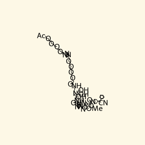 COc1cnc(-n2cnc(C(=O)NC[C@H](O)CN(CCCNC(=O)CCOCCOCCOCCOCc3cn(CCOCCOCCOCCOCCC(C)=O)nn3)C(CO)CO)n2)c2[nH]cc(C(=O)C(=O)N3CCC(=C(C#N)c4ccccc4)CC3)c12